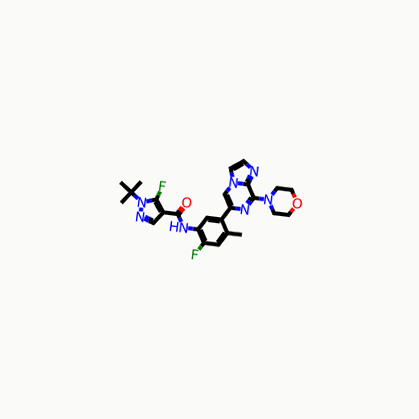 Cc1cc(F)c(NC(=O)c2cnn(C(C)(C)C)c2F)cc1-c1cn2ccnc2c(N2CCOCC2)n1